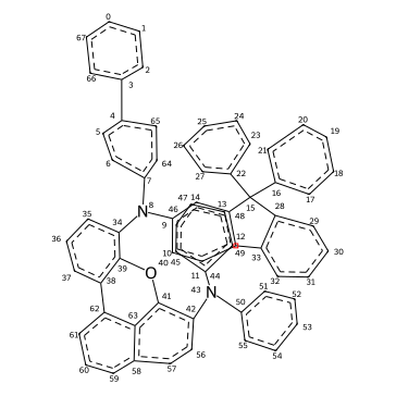 c1ccc(-c2ccc(N(c3ccc4c(c3)C(c3ccccc3)(c3ccccc3)c3ccccc3-4)c3cccc4c3Oc3c(N(c5ccccc5)c5ccccc5)ccc5cccc-4c35)cc2)cc1